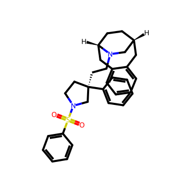 O=S(=O)(c1ccccc1)N1CC[C@@](CCN2C[C@@H]3CC[C@H]2Cc2ccccc2C3)(c2ccccc2)C1